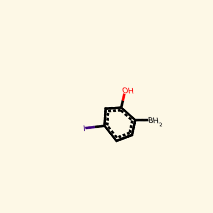 Bc1ccc(I)cc1O